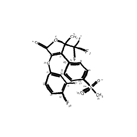 CC1(C(F)(F)F)OC(=O)C(Oc2ccc(F)c(F)c2)=C1c1ccc(S(C)(=O)=O)cc1